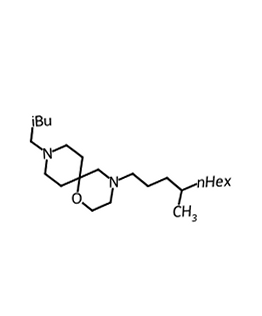 CCCCCCC(C)CCCN1CCOC2(CCN(CC(C)CC)CC2)C1